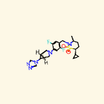 CC1CCC(C2CC2)S(=O)(=O)N1Cc1cc(F)c(N2C[C@@H]3C(n4cnnc4)[C@@H]3C2)cc1F